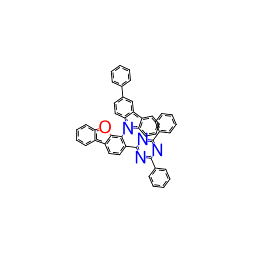 c1ccc(-c2ccc3c(c2)c2ccccc2n3-c2c(-c3nc(-c4ccccc4)nc(-c4ccccc4)n3)ccc3c2oc2ccccc23)cc1